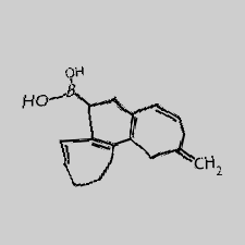 C=C1C=CC2=C(C1)C1=C(C=CCC1)C(B(O)O)C2